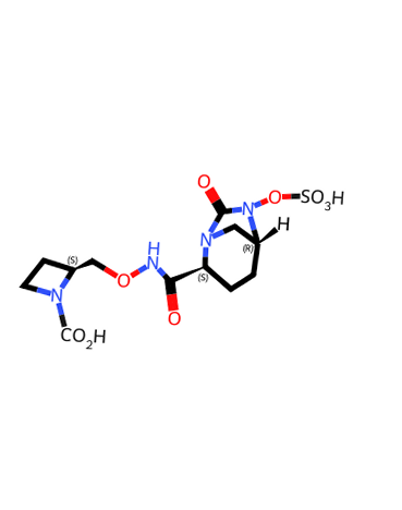 O=C(NOC[C@@H]1CCN1C(=O)O)[C@@H]1CC[C@@H]2CN1C(=O)N2OS(=O)(=O)O